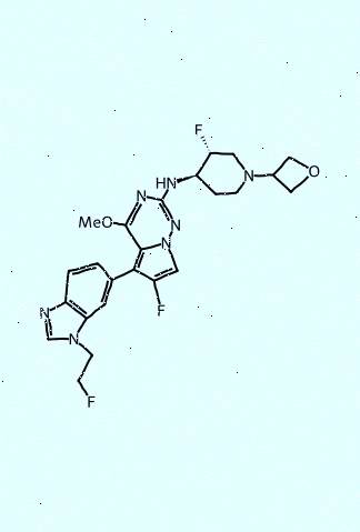 COc1nc(N[C@@H]2CCN(C3COC3)C[C@H]2F)nn2cc(F)c(-c3ccc4ncn(CCF)c4c3)c12